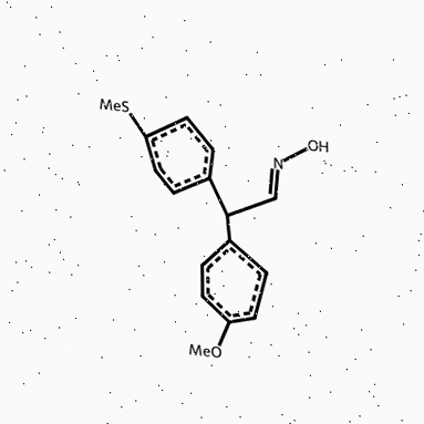 COc1ccc(C(C=NO)c2ccc(SC)cc2)cc1